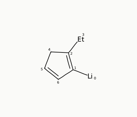 [Li][C]1=C(CC)CC=C1